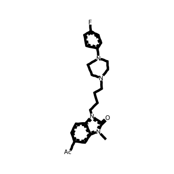 CC(=O)c1ccc2c(c1)n(C)c(=O)n2CCCCN1CCN(c2ccc(F)cc2)CC1